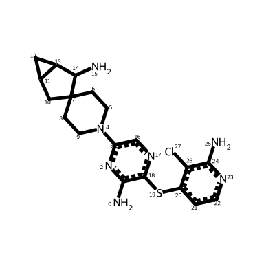 Nc1nc(N2CCC3(CC2)CC2CC2C3N)cnc1Sc1ccnc(N)c1Cl